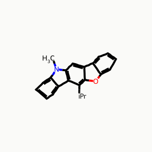 CC(C)c1c2oc3ccccc3c2cc2c1c1ccccc1n2C